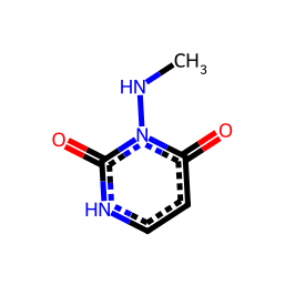 CNn1c(=O)cc[nH]c1=O